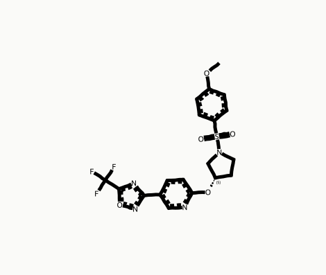 COc1ccc(S(=O)(=O)N2CC[C@H](Oc3ccc(-c4noc(C(F)(F)F)n4)cn3)C2)cc1